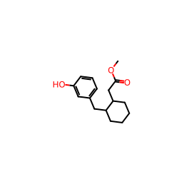 COC(=O)CC1CCCCC1Cc1cccc(O)c1